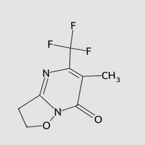 Cc1c(C(F)(F)F)nc2n(c1=O)OCC2